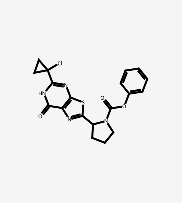 O=C(Oc1ccccc1)N1CCCC1c1nc2c(=O)[nH]c(C3(Cl)CC3)nc2s1